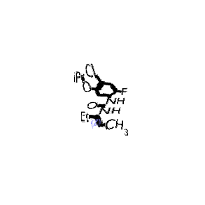 C/C=C(/CC)NC(=O)Nc1cc(OC(C)C)c(Cl)cc1F